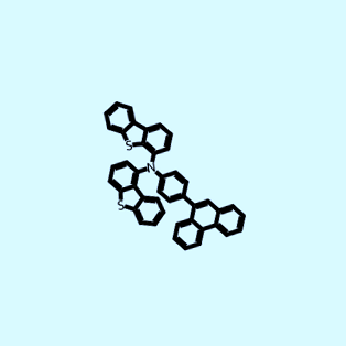 c1ccc2c(c1)cc(-c1ccc(N(c3cccc4c3sc3ccccc34)c3cccc4sc5ccccc5c34)cc1)c1ccccc12